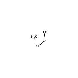 CCCCC.S